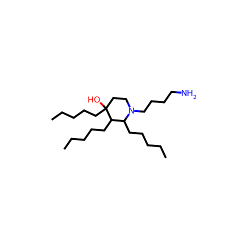 CCCCCC1C(CCCCC)C(O)(CCCCC)CCN1CCCCN